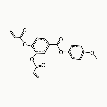 C=CC(=O)Oc1ccc(C(=O)Oc2ccc(OC)cc2)cc1OC(=O)C=C